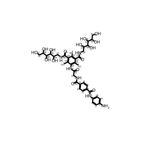 Nc1ccc(NC(=O)c2ccc(C(=O)NCC(=O)Nc3c(I)c(C(=O)NCC(O)C(O)C(O)C(O)CO)c(I)c(C(=O)NCC(O)C(O)C(O)C(O)CO)c3I)cc2)cc1